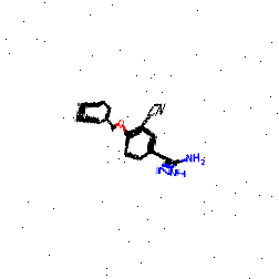 N#Cc1cc(C(=N)N)ccc1OCc1ccccc1